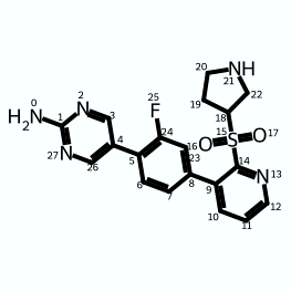 Nc1ncc(-c2ccc(-c3cccnc3S(=O)(=O)C3CCNC3)cc2F)cn1